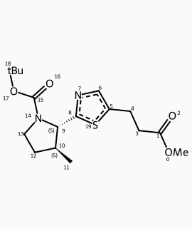 COC(=O)CCc1cnc([C@@H]2[C@@H](C)CCN2C(=O)OC(C)(C)C)s1